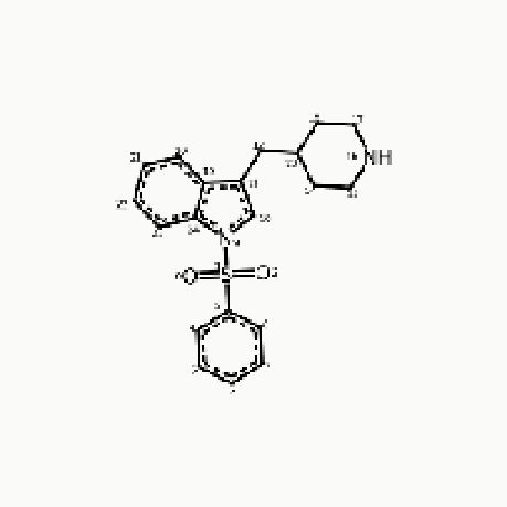 O=S(=O)(c1ccccc1)n1cc(CC2CCNCC2)c2ccccc21